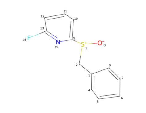 [O-][S+](Cc1ccccc1)c1cccc(F)n1